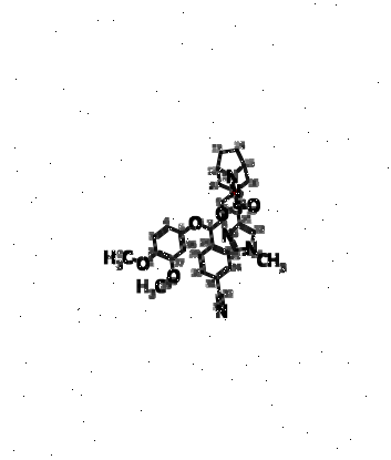 COc1ccc(OC(CCCN2C3CCC2CN(S(=O)(=O)c2cn(C)cn2)C3)c2ccc(C#N)cc2)cc1OC